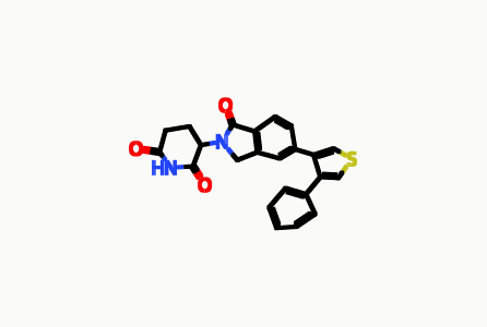 O=C1CCC(N2Cc3cc(-c4cscc4-c4ccccc4)ccc3C2=O)C(=O)N1